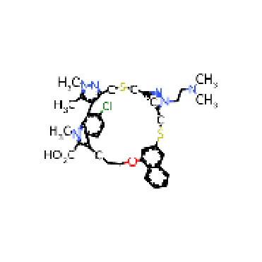 Cc1c2c(nn1C)CSCc1cc(n(CCN(C)C)n1)CSc1cc(c3ccccc3c1)OCCCc1c(C(=O)O)n(C)c3c-2c(Cl)ccc13